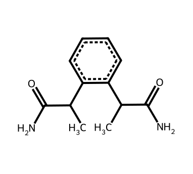 CC(C(N)=O)c1ccccc1C(C)C(N)=O